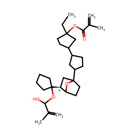 C=C(C)C(=O)OC1(CC)CCC(C2CCC(C34CCC(O3)[C@@H](C3(OC(O)C(=C)C)CCCC3)C4)C2)C1